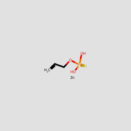 C=CCOP(O)(O)=S.[Zn]